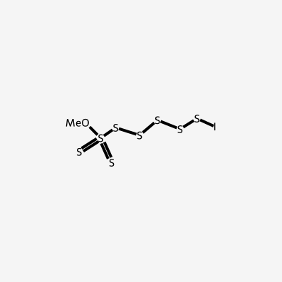 COS(=S)(=S)SSSSSI